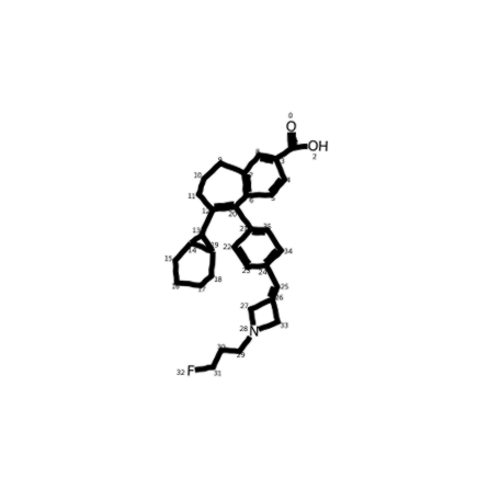 O=C(O)c1ccc2c(c1)CCCC(C1C3CCCCC31)=C2c1ccc(C=C2CN(CCCF)C2)cc1